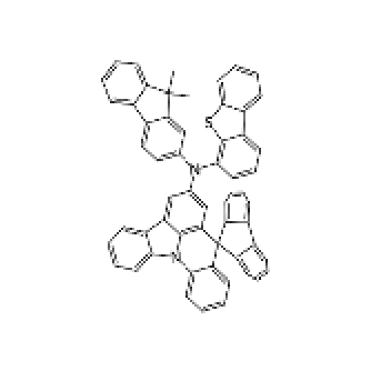 CC1(C)c2ccccc2-c2ccc(N(c3cc4c5c(c3)c3ccccc3n5-c3ccccc3C43c4ccccc4-c4ccccc43)c3cccc4c3sc3ccccc34)cc21